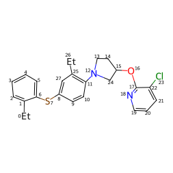 CCc1ccccc1Sc1ccc(N2CCC(Oc3ncccc3Cl)C2)c(CC)c1